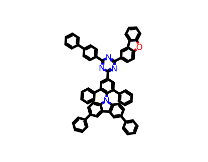 c1ccc(-c2ccc(-c3nc(-c4cc(-c5ccccc5)c(-n5c6ccc(-c7ccccc7)cc6c6cc(-c7ccccc7)ccc65)c(-c5ccccc5)c4)nc(-c4ccc5oc6ccccc6c5c4)n3)cc2)cc1